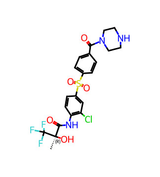 C[C@@](O)(C(=O)Nc1ccc(S(=O)(=O)c2ccc(C(=O)N3CCNCC3)cc2)cc1Cl)C(F)(F)F